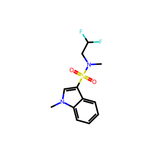 CN(CC(F)F)S(=O)(=O)c1cn(C)c2ccccc12